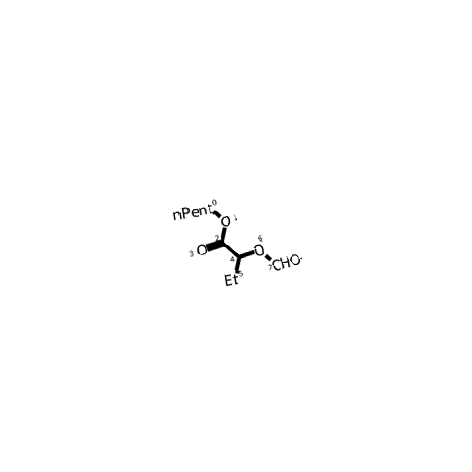 CCCCCOC(=O)C(CC)O[C]=O